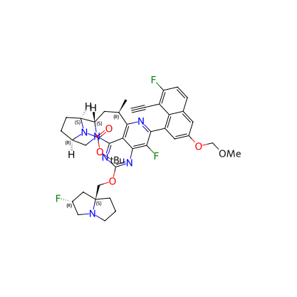 C#Cc1c(F)ccc2cc(OCOC)cc(-c3nc4c5c(nc(OC[C@@]67CCCN6C[C@H](F)C7)nc5c3F)N3C[C@H]5CC[C@@H]([C@@H]3C[C@H]4C)N5C(=O)OC(C)(C)C)c12